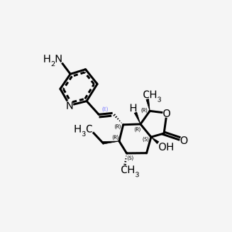 CC[C@H]1[C@H](/C=C/c2ccc(N)cn2)[C@@H]2[C@@H](C)OC(=O)[C@]2(O)C[C@@H]1C